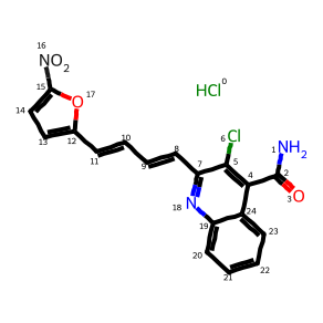 Cl.NC(=O)c1c(Cl)c(C=CC=Cc2ccc([N+](=O)[O-])o2)nc2ccccc12